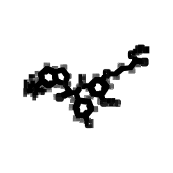 COc1cc(NC(C(=O)N2CCc3ccc(S(F)(F)(F)(F)F)cc32)c2ccc(Cl)cc2)cc(OCCCC(=O)OC(C)(C)C)c1